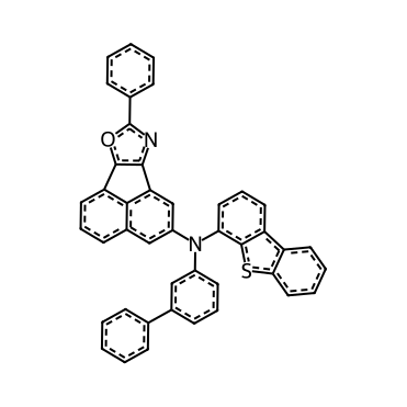 c1ccc(-c2cccc(N(c3cc4c5c(cccc5c3)-c3oc(-c5ccccc5)nc3-4)c3cccc4c3sc3ccccc34)c2)cc1